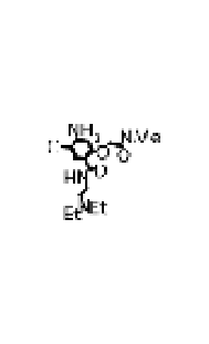 CCN(CC)CCNC(=O)c1cc(Cl)c(N)cc1OCC(=O)NC